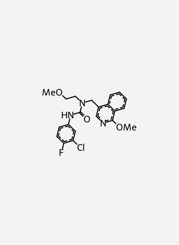 COCCN(Cc1cnc(OC)c2ccccc12)C(=O)Nc1ccc(F)c(Cl)c1